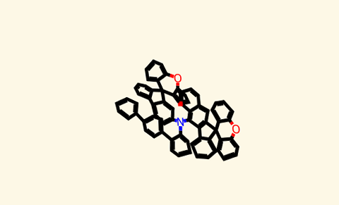 c1ccc(-c2ccc(-c3ccccc3N(c3ccc4c(c3)C3(c5ccccc5Oc5ccccc53)c3ccccc3-4)c3c4c(cc5ccccc35)C3(c5ccccc5Oc5ccccc53)c3ccccc3-4)cc2)cc1